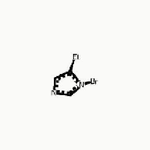 CCc1cncn1Br